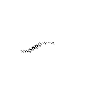 CCCCCCCCC[C@H]1CC[C@H](c2ccc(-c3ccc(C4=CCC(CCCCC)CC4)cc3)cc2)CC1